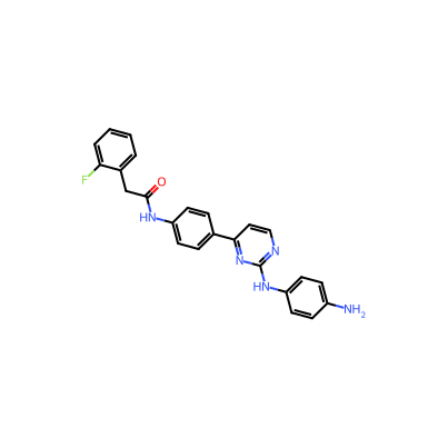 Nc1ccc(Nc2nccc(-c3ccc(NC(=O)Cc4ccccc4F)cc3)n2)cc1